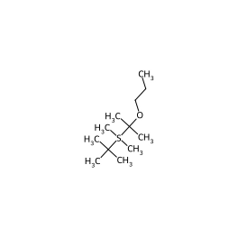 CCCOC(C)(C)S(C)(C)C(C)(C)C